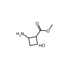 COC(=O)C1CCC1N.Cl